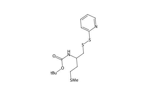 CSCCC(CSSc1ccccn1)NC(=O)OC(C)(C)C